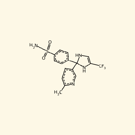 Cc1ccc(C2(c3ccc(S(N)(=O)=O)cc3)NC=C(C(F)(F)F)N2)cn1